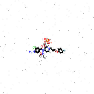 COc1cc(N)c(Cl)cc1C(=O)N[C@H]1CCN(CCCOc2ccc(F)cc2)C[C@@H]1OC.O=S(=O)(O)O